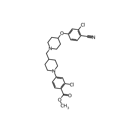 COC(=O)c1ccc(N2CCC(CN3CCC(Oc4ccc(C#N)c(Cl)c4)CC3)CC2)cc1Cl